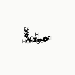 C[C@@](O)(CO[C@H]1C[C@@H](OC(F)(F)F)C1)[C@H]1CC[C@H](NC(=O)COc2ccc(Cl)cc2)CO1